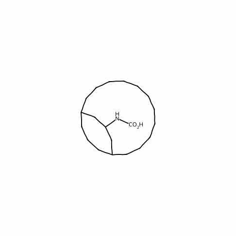 O=C(O)NC1CC2CCCCCCCCCCCC(CCC2)C1